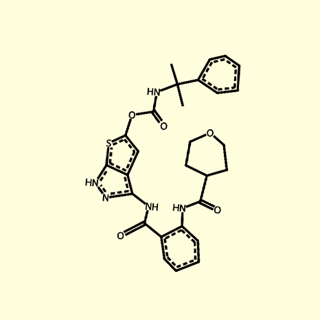 CC(C)(NC(=O)Oc1cc2c(NC(=O)c3ccccc3NC(=O)C3CCOCC3)n[nH]c2s1)c1ccccc1